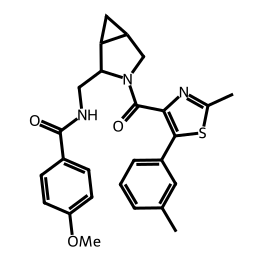 COc1ccc(C(=O)NCC2C3CC3CN2C(=O)c2nc(C)sc2-c2cccc(C)c2)cc1